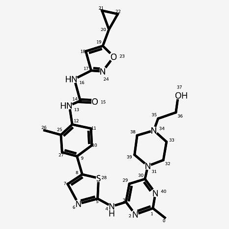 Cc1nc(Nc2ncc(-c3ccc(NC(=O)Nc4cc(C5CC5)on4)c(C)c3)s2)cc(N2CCN(CCO)CC2)n1